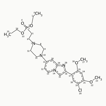 CCOP(=O)(CCN1CCN(c2ccn3cc(-c4cc(Cl)c(OC)cc4OC)nc3c2)CC1)OCC